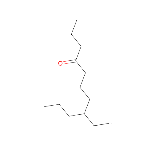 [CH2]CC(CCC)CCCC(=O)CCC